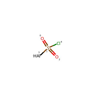 O=[S](=O)([AlH])Cl